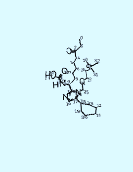 CCC(=O)CCCCC[C@H](NC(=O)O)c1ncc(C2CCCCC2)n1COCC[Si](C)(C)C